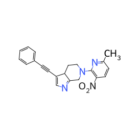 Cc1ccc([N+](=O)[O-])c(N2CCC3C(C#Cc4ccccc4)=CN=C3C2)n1